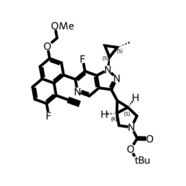 C#Cc1c(F)ccc2cc(OCOC)cc(-c3ncc4c(C5[C@H]6CN(C(=O)OC(C)(C)C)C[C@@H]56)nn([C@H]5C[C@@H]5C)c4c3F)c12